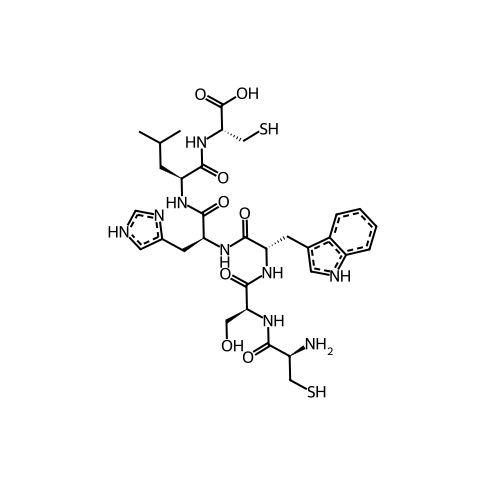 CC(C)C[C@H](NC(=O)[C@H](Cc1c[nH]cn1)NC(=O)[C@H](Cc1c[nH]c2ccccc12)NC(=O)[C@H](CO)NC(=O)[C@@H](N)CS)C(=O)N[C@@H](CS)C(=O)O